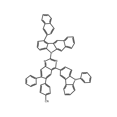 N#Cc1ccc(-c2cc3c(-c4ccc5c(c4)c4ccccc4n5-c4ccccc4)nc(-n4c5cc6ccccc6cc5c5c(-c6ccc7ccccc7c6)cccc54)nc3cc2-c2ccccc2)cc1